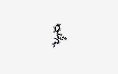 C=C(/C=C\C=C/C)c1cc(-c2ccccc2)nc(Br)n1